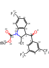 CCC1C(C(=O)c2cc(C(F)(F)F)cc(C(F)(F)F)c2)c2ccc(C(F)(F)F)cc2N1C(=O)OC(C)(C)C